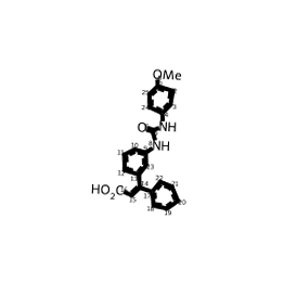 COc1ccc(NC(=O)Nc2cccc(/C(=C\C(=O)O)c3ccccc3)c2)cc1